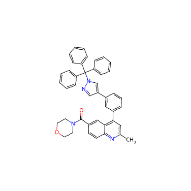 Cc1cc(-c2cccc(-c3cnn(C(c4ccccc4)(c4ccccc4)c4ccccc4)c3)c2)c2cc(C(=O)N3CCOCC3)ccc2n1